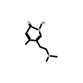 Cc1cc(=O)n(C(C)C)cc1CCN(C)C